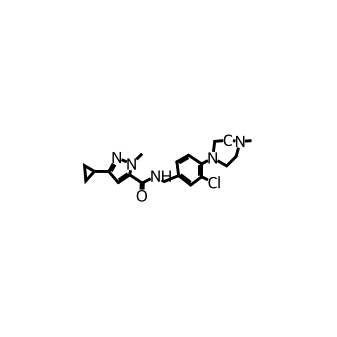 CN1CCN(c2ccc(CNC(=O)c3cc(C4CC4)nn3C)cc2Cl)CC1